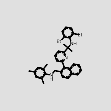 CCc1cccc(CC)c1NC(C)(C)c1cccc(-c2c(CNc3c(C)cc(C)cc3C)ccc3ccccc23)n1